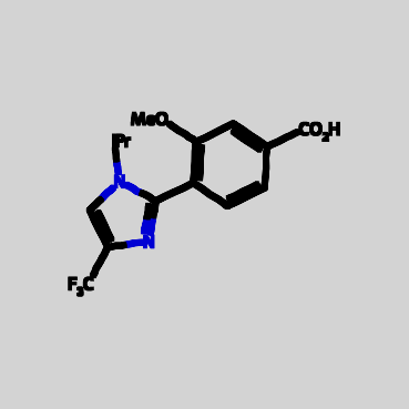 COc1cc(C(=O)O)ccc1-c1nc(C(F)(F)F)cn1C(C)C